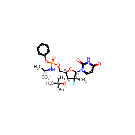 C[C@H](NP(=O)(OC[C@H]1O[C@@H](n2ccc(=O)[nH]c2=O)[C@](C)(F)[C@@H]1O[Si](C)(C)C(C)(C)C)Oc1ccccc1)C(=O)O